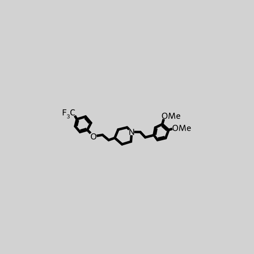 COc1ccc(CCN2CCC(CCOc3ccc(C(F)(F)F)cc3)CC2)cc1OC